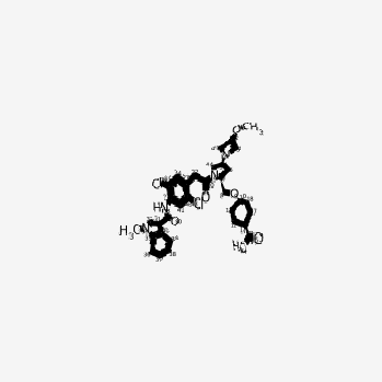 COC1CN([C@H]2C[C@@H](CO[C@H]3CC[C@H](C(=O)O)CC3)N(C(=O)Cc3cc(Cl)c(NC(=O)C4CN(C)c5ccccc54)cc3Cl)C2)C1